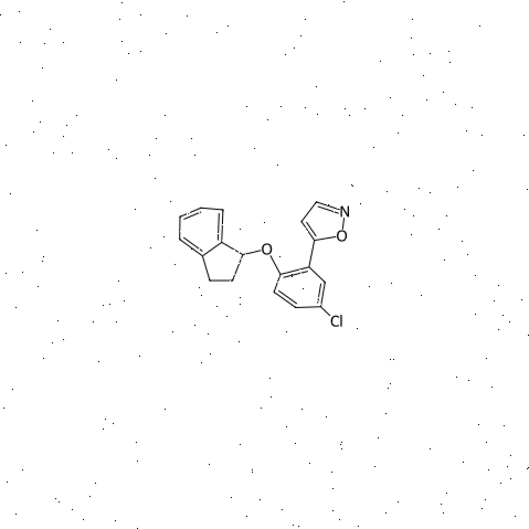 Clc1ccc(OC2CCc3ccccc32)c(-c2ccno2)c1